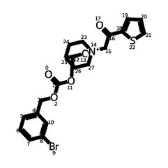 O=C(OCc1cccc(Br)c1)OC1C[N+]2(CC(=O)c3cccs3)CCC1CC2